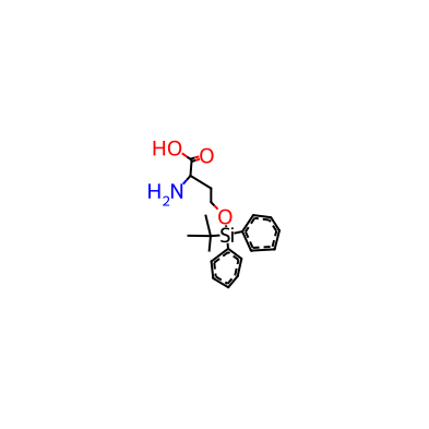 CC(C)(C)[Si](OCCC(N)C(=O)O)(c1ccccc1)c1ccccc1